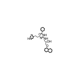 O=C(NC(=NCCCc1c[nH]cn1)NCC(O)COc1cccc2ccccc12)c1ccccc1